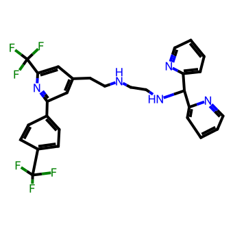 FC(F)(F)c1ccc(-c2cc(CCNCCNC(c3ccccn3)c3ccccn3)cc(C(F)(F)F)n2)cc1